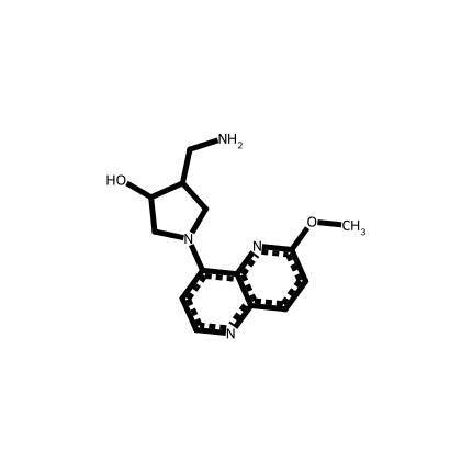 COc1ccc2nccc(N3CC(O)C(CN)C3)c2n1